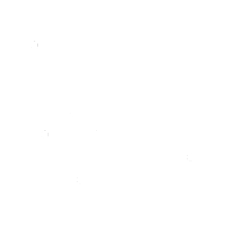 O=CCC(=O)c1ccc(Cl)cc1Cl